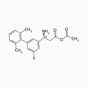 CC(=O)OC(=O)C[C@H](N)c1cc(F)cc(-c2c(C)cccc2C)c1